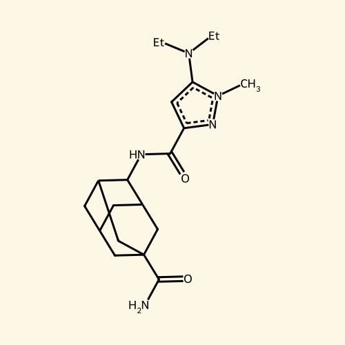 CCN(CC)c1cc(C(=O)NC2C3CC4CC2CC(C(N)=O)(C4)C3)nn1C